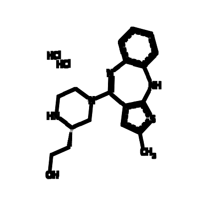 Cc1cc2c(s1)Nc1ccccc1N=C2N1CCN[C@@H](CCO)C1.Cl.Cl